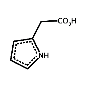 O=C(O)Cc1ccc[nH]1